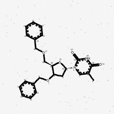 Cc1cn([C@@H]2CC(OCc3ccccc3)[C@@H](COCc3ccccc3)S2)c(=O)[nH]c1=O